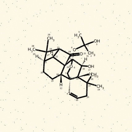 CC(C)(O)O[C@@]12OC[C@]3(C=CCC(C)(C)[C@H]3[C@@H]1O)[C@@H]1CC[C@@H]3[C@H]4C(C(=O)[C@]412)C3(C)C